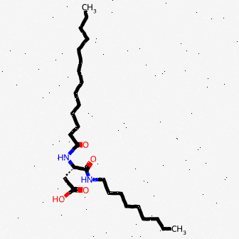 CCCCCCCCCCCCCC(=O)N[C@@H](CC(=O)O)C(=O)NCCCCCCCCC